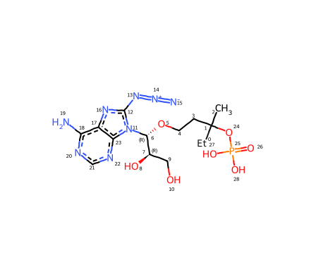 CCC(C)(CCO[C@H]([C@H](O)CO)n1c(N=[N+]=[N-])nc2c(N)ncnc21)OP(=O)(O)O